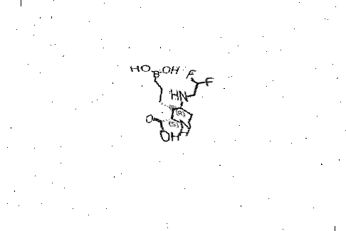 O=C(O)[C@H]1NC[C@H](NCC(F)F)[C@H]1CCCB(O)O